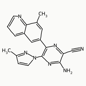 Cc1ccn(-c2nc(N)c(C#N)nc2-c2cc(C)c3ncccc3c2)n1